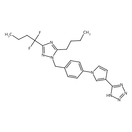 CCCCc1nc(C(F)(F)CCC)nn1Cc1ccc(-n2ccc(-c3nnn[nH]3)c2)cc1